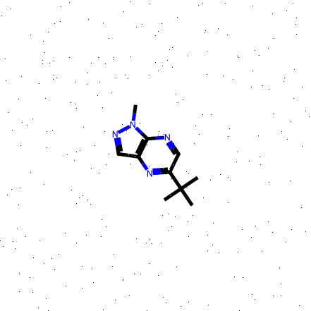 Cn1ncc2nc(C(C)(C)C)cnc21